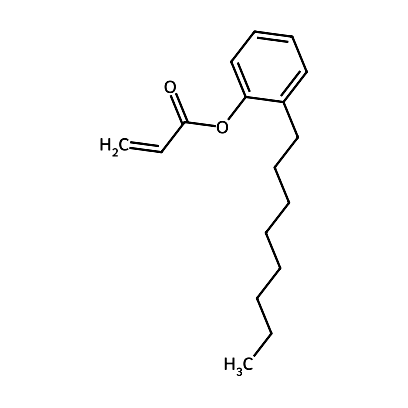 C=CC(=O)Oc1ccccc1CCCCCCCC